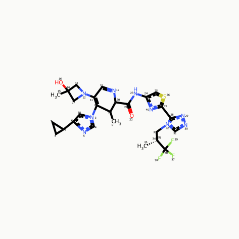 CC1C(n2cnc(C3CC3)c2)=C(N2CC(C)(O)C2)C=NC1C(=O)Nc1csc(-c2nncn2C[C@@H](C)C(F)(F)F)n1